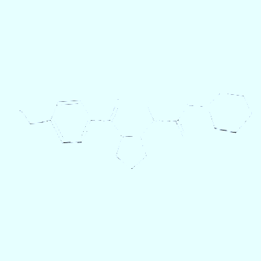 O=C(NC1CCCCC1)C(O)C1CCCN1C(=O)c1ccc(CCl)cc1